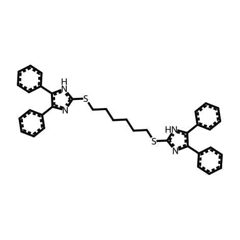 c1ccc(-c2nc(SCCCCCCSc3nc(-c4ccccc4)c(-c4ccccc4)[nH]3)[nH]c2-c2ccccc2)cc1